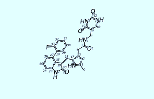 Cc1cc(CC(=O)NCc2c[nH]c(=O)[nH]c2=O)c(/C=C2\C(=O)Nc3cccc(-c4ccccc4F)c32)[nH]1